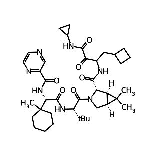 CC(C)(C)[C@H](NC(=O)[C@@H](NC(=O)c1cnccn1)C1(C)CCCCC1)C(=O)N1C[C@H]2[C@@H]([C@H]1C(=O)NC(CC1CCC1)C(=O)C(=O)NC1CC1)C2(C)C